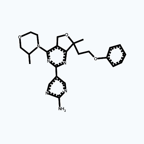 CC1COCCN1c1nc(-c2cnc(N)nc2)nc2c1COC2(C)CCOc1ccccc1